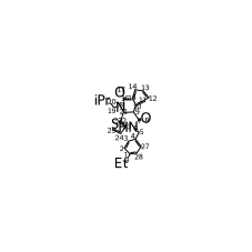 CCc1ccc(CNC(=O)C2c3ccccc3C(=O)N(CC(C)C)C2c2cccs2)cc1